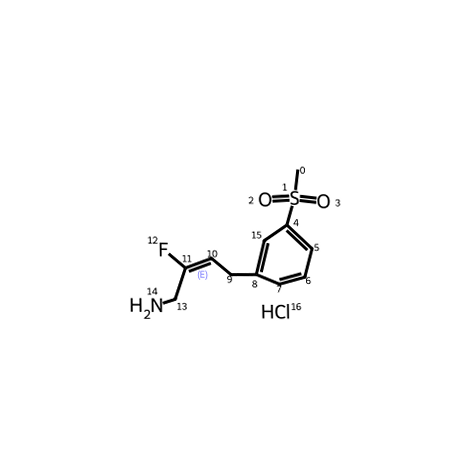 CS(=O)(=O)c1cccc(C/C=C(/F)CN)c1.Cl